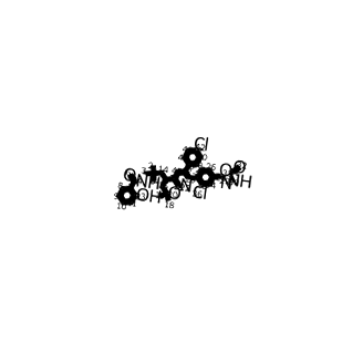 CC(C)(CNC(=O)c1ccccc1O)CC1CC(C)(C)Oc2nc(-c3ccc(-c4n[nH]c(=O)o4)cc3Cl)c(-c3ccc(Cl)cc3)cc21